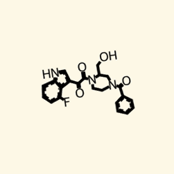 O=C(C(=O)N1CCN(C(=O)c2ccccc2)CC1CO)c1c[nH]c2cccc(F)c12